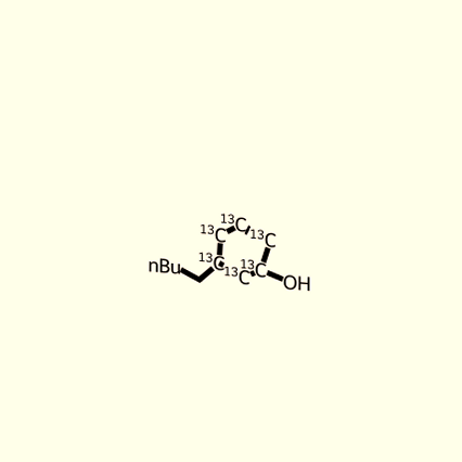 CCCCC[13CH]1[13CH2][13CH]=[13CH][13CH](O)[13CH2]1